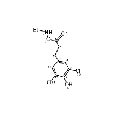 CCNOC(=O)CCc1cc(Cl)c(O)c(Cl)c1